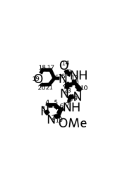 COc1nnccc1Nc1ncc2[nH]c(=O)n(C3CCOCC3)c2n1